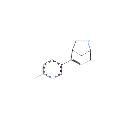 Clc1ccc(C2=CCC3CC2CN3)cn1